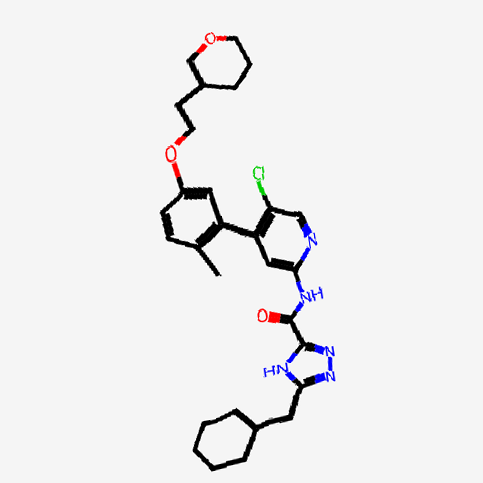 Cc1ccc(OCCC2CCCOC2)cc1-c1cc(NC(=O)c2nnc(CC3CCCCC3)[nH]2)ncc1Cl